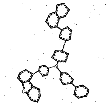 c1ccc(-c2ccc(N(c3ccc(-c4cccc(-c5cccc6ccccc56)c4)cc3)c3ccc(-c4cccc5oc6ccccc6c45)cc3)cc2)cc1